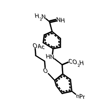 CCCc1ccc(OCCOC(C)=O)c(C(Nc2ccc(C(=N)N)cc2)C(=O)O)c1